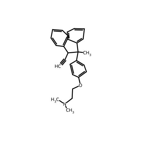 C#CC(c1ccccc1)C(C)(c1ccccc1)c1ccc(OCCN(C)C)cc1